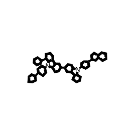 c1ccc(-c2ccc(-n3c4ccc(-c5ccc6c(c5)c5ccccc5n6-c5ccc(-c6ccc7ccccc7c6)cc5)cc4c4cccc(-c5ccccc5)c43)cc2)cc1